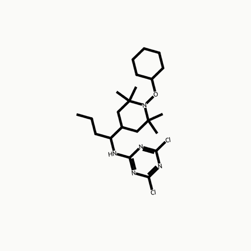 CCCC(Nc1nc(Cl)nc(Cl)n1)C1CC(C)(C)N(OC2CCCCC2)C(C)(C)C1